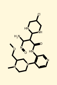 COCC1CN(c2ccncc2NC(=O)C(C(N)N=O)C2NCC(Cl)CN2)CCN1C